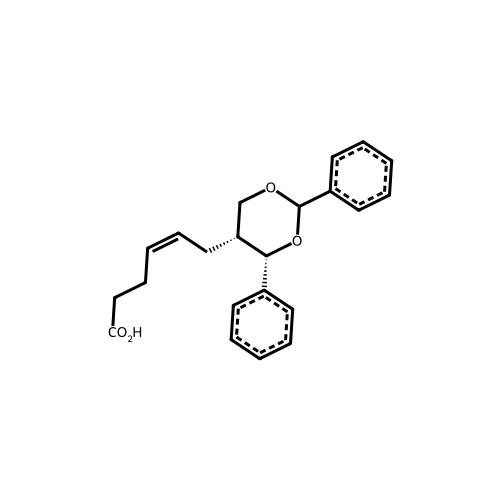 O=C(O)CC/C=C\C[C@@H]1COC(c2ccccc2)O[C@@H]1c1ccccc1